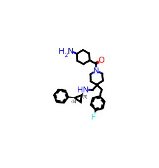 NC1CCC(C(=O)N2CCC(CN[C@@H]3C[C@H]3c3ccccc3)(Cc3ccc(F)cc3)CC2)CC1